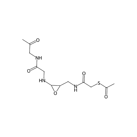 CC(=O)CNC(=O)CNC1OC1CNC(=O)CSC(C)=O